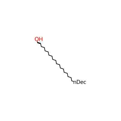 CCCCCCCCCCCCCCCCCCCCCCCCCCCC=CO